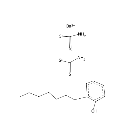 CCCCCCCc1ccccc1O.NC(=S)[S-].NC(=S)[S-].[Ba+2]